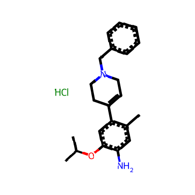 Cc1cc(N)c(OC(C)C)cc1C1=CCN(Cc2ccccc2)CC1.Cl